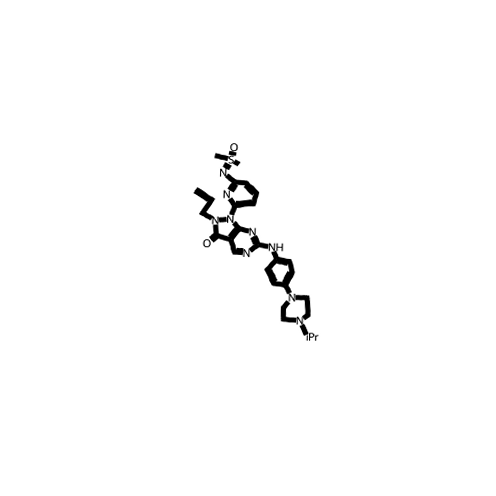 C=CCn1c(=O)c2cnc(Nc3ccc(N4CCN(C(C)C)CC4)cc3)nc2n1-c1cccc(N=S(C)(C)=O)n1